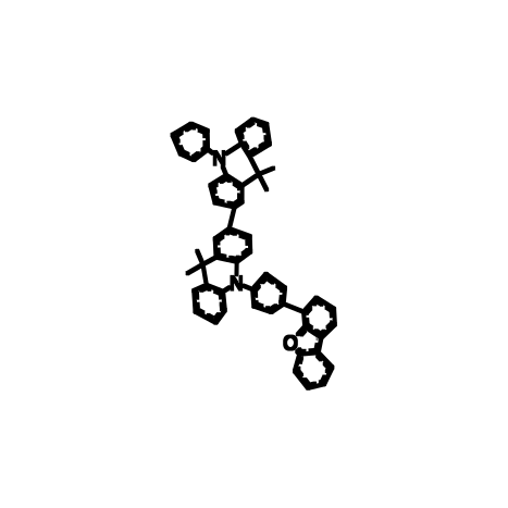 CC1(C)c2ccccc2N(c2ccccc2)c2ccc(-c3ccc4c(c3)C(C)(C)c3ccccc3N4c3ccc(-c4cccc5c4oc4ccccc45)cc3)cc21